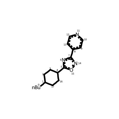 CCCCC1CCC(c2nc(-c3ccncc3)no2)CC1